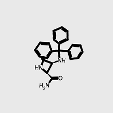 NC(=O)[C@H]1NC(=O)[C@H]1NC(c1ccccc1)(c1ccccc1)c1ccccc1